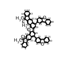 CC1(C)c2ccccc2-c2cc3c(-c4ccc5oc6ccccc6c5c4)cc4c5cc(-c6ccc7oc8ccccc8c7c6)c6cc7c(cc6c5oc4c3cc21)C(C)(C)c1ccccc1-7